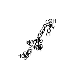 Cc1c(C(=O)O)c(-c2cccc(N3CCN(c4ccc(N(CCCO)[PH](=O)c5ccc(N[C@H](CCN6CCC(OP(=O)(O)O)CC6)CSc6ccccc6)c(S(=O)(=O)C(F)(F)F)c5)cc4)CC3)c2)c(-c2ccc(Cl)cc2)n1C(C)C